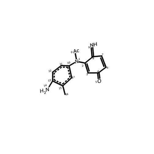 CC(=O)N(C1=CC(=O)C=CC1=N)c1ccc(N)c(C)c1